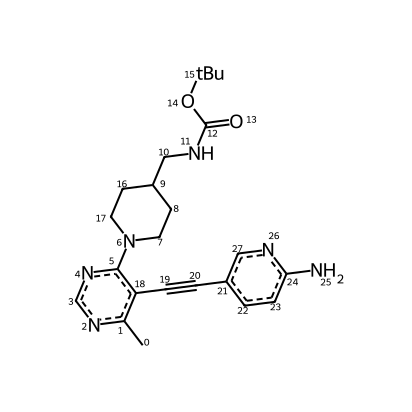 Cc1ncnc(N2CCC(CNC(=O)OC(C)(C)C)CC2)c1C#Cc1ccc(N)nc1